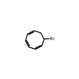 CC(=O)C1C=C/C=C\C=C/C1